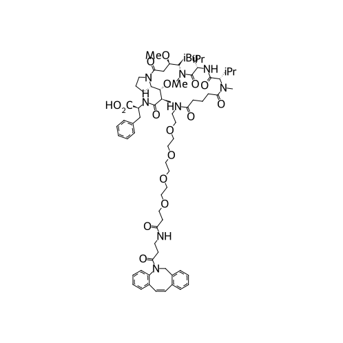 CC[C@H](C)[C@@H]([C@@H](CC(=O)N1CCC[C@H]1[C@H](OC)[C@@H](C)C(=O)N[C@@H](Cc1ccccc1)C(=O)O)OC)N(C)C(=O)[C@@H](NC(=O)[C@H](C(C)C)N(C)C(=O)CCCC(=O)NCCOCCOCCOCCOCCC(=O)NCCC(=O)N1Cc2ccccc2/C=C\c2ccccc21)C(C)C